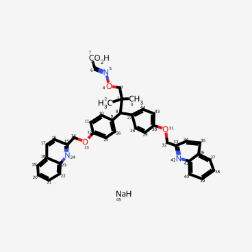 CC(C)(CON=CC(=O)O)C(c1ccc(OCc2ccc3ccccc3n2)cc1)c1ccc(OCc2ccc3ccccc3n2)cc1.[NaH]